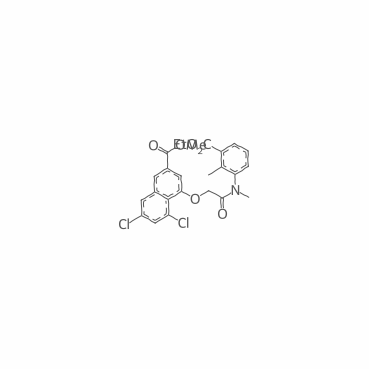 CCOC(=O)c1cccc(N(C)C(=O)COc2cc(C(=O)OC)cc3cc(Cl)cc(Cl)c23)c1C